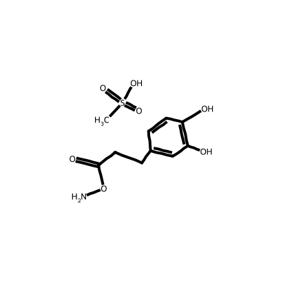 CS(=O)(=O)O.NOC(=O)CCc1ccc(O)c(O)c1